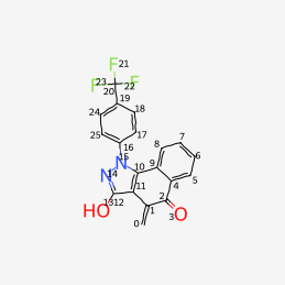 C=C1C(=O)c2ccccc2-c2c1c(O)nn2-c1ccc(C(F)(F)F)cc1